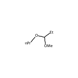 CC[CH]OC(CC)OC